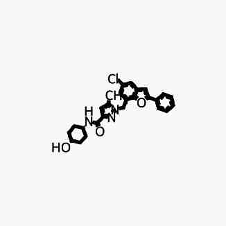 Cc1cc(C(=O)N[C@H]2CC[C@H](O)CC2)nn1Cc1cc(Cl)cc2cc(-c3ccccc3)oc12